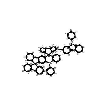 c1ccc(N2c3ccccc3C3(c4cc5c(cc42)C2(c4ccccc4-c4ccccc42)c2ccccc2-5)c2cccnc2-c2ncc(-c4ccc5c6ccccc6n(-c6ccccc6)c5c4)cc23)cc1